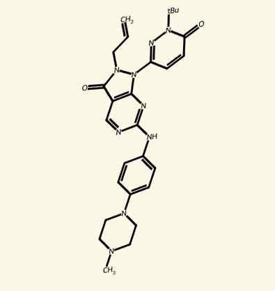 C=CCn1c(=O)c2cnc(Nc3ccc(N4CCN(C)CC4)cc3)nc2n1-c1ccc(=O)n(C(C)(C)C)n1